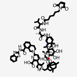 C/C(=C1\C=C(NC(=O)[C@H](C)NC(=O)C(NC(=O)CCCCCN2C(=O)C=CC2=O)C(C)C)C=CC1(C)COC(=O)N(C)CCOC12CC3(C)CC(C)(CC(Cn4ncc(-c5ccc(N6CCc7cccc(C(=O)Nc8nc9ccccc9s8)c7C6)nc5C(=O)O)c4C)(C3)C1)C2)[C@@H]1O[C@H](C(=O)O)[C@@H](O)[C@H](O)[C@H]1O